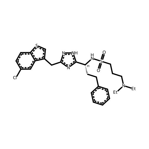 CCN(CC)CCCS(=O)(=O)N[C@H](CCc1ccccc1)c1nc(Cc2csc3ccc(Cl)cc23)n[nH]1